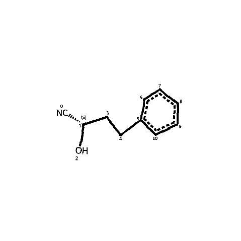 N#C[C@@H](O)CCc1ccccc1